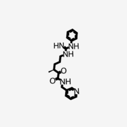 C[C@@H](CCCNC(=N)Nc1ccccc1)C(=O)C(=O)NCc1cccnc1